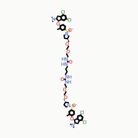 Cc1cc([S+]([O-])N2CC[C@H](COCCOCCNC(=O)NCCCCNC(=O)NCCOCCOC[C@H]3CCN([S+]([O-])c4ccc(O[C@H]5c6cc(Cl)cc(Cl)c6C[C@@H]5N(C)C)c(C)c4)C3)C2)ccc1O[C@H]1c2cc(Cl)cc(Cl)c2C[C@@H]1N(C)C